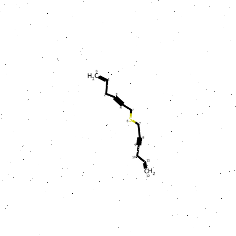 C=CCC#CCSCC#CCC=C